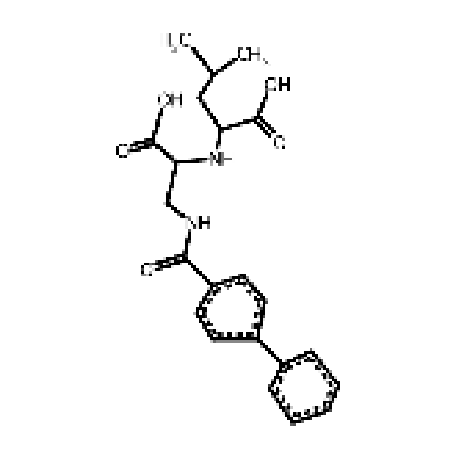 CC(C)CC(NC(CNC(=O)c1ccc(-c2ccccc2)cc1)C(=O)O)C(=O)O